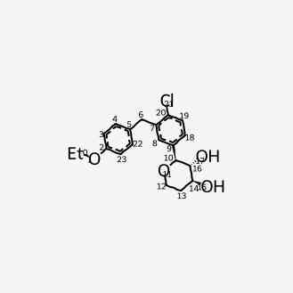 CCOc1ccc(Cc2cc([C@@H]3OCC[C@H](O)[C@H]3O)ccc2Cl)cc1